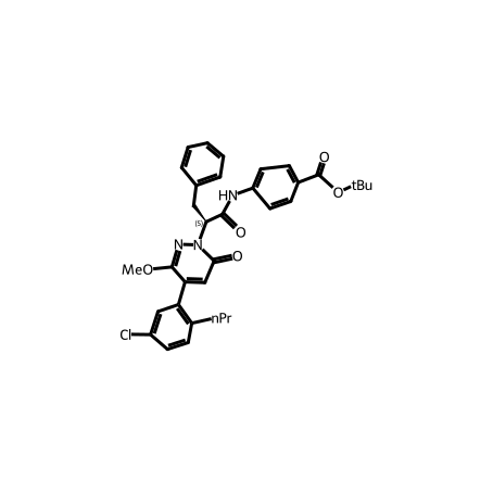 CCCc1ccc(Cl)cc1-c1cc(=O)n([C@@H](Cc2ccccc2)C(=O)Nc2ccc(C(=O)OC(C)(C)C)cc2)nc1OC